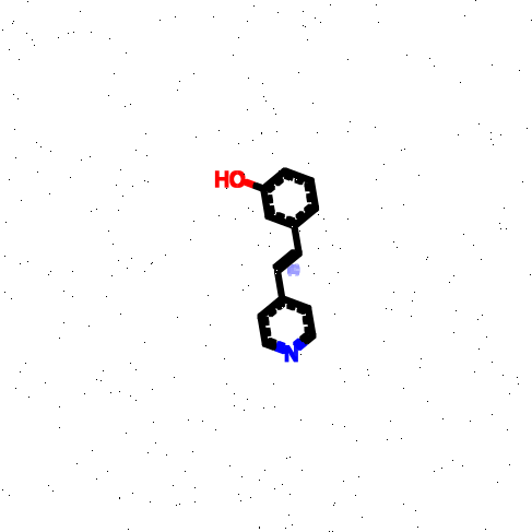 Oc1cccc(/C=C/c2ccncc2)c1